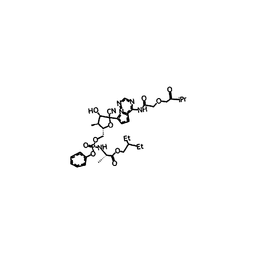 CCC(CC)COC(=O)[C@H](C)NP(=O)(OC[C@H]1O[C@@](C#N)(c2ccc3c(NC(=O)COCC(=O)C(C)C)ncnn23)[C@H](O)[C@@H]1C)Oc1ccccc1